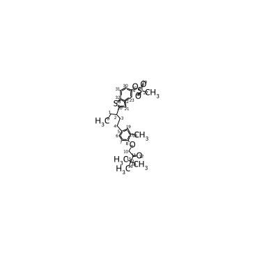 CCC(CCc1ccc(OCC(=O)C(C)(C)C)c(C)c1)c1cc2cc(OS(C)(=O)=O)ccc2s1